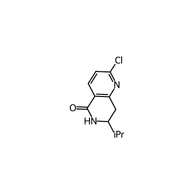 CC(C)C1Cc2nc(Cl)ccc2C(=O)N1